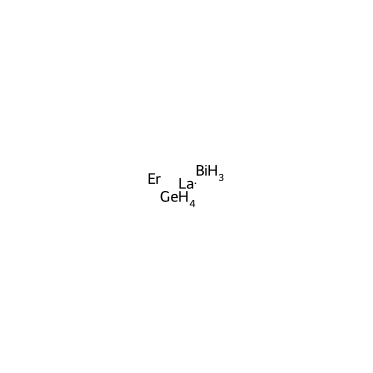 [BiH3].[Er].[GeH4].[La]